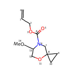 C=CCOC(=O)N1CC2(CC2)OCC1OC